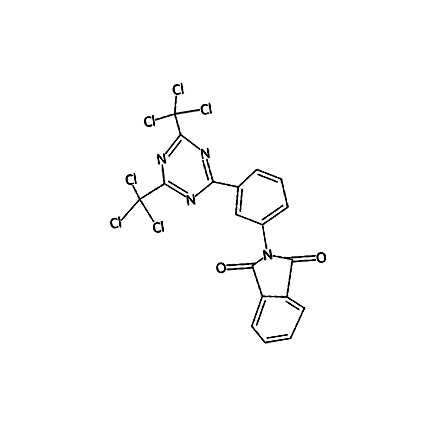 O=C1c2ccccc2C(=O)N1c1cccc(-c2nc(C(Cl)(Cl)Cl)nc(C(Cl)(Cl)Cl)n2)c1